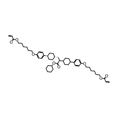 C=CC(=O)OCCCCCCOc1ccc(C2CCC(C(C[C@H]3CC[C@H](c4ccc(OCCCCCCOC(=O)C=C)cc4)CC3)C(=O)OC3CCCCC3)CC2)cc1